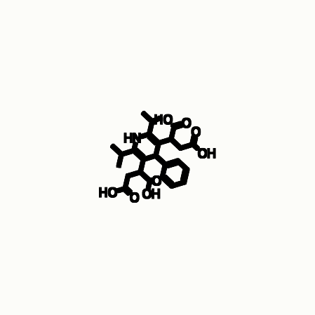 CC(C)C1=C(C(CC(=O)O)C(=O)O)C(c2ccccc2)C(C(CC(=O)O)C(=O)O)=C(C(C)C)N1